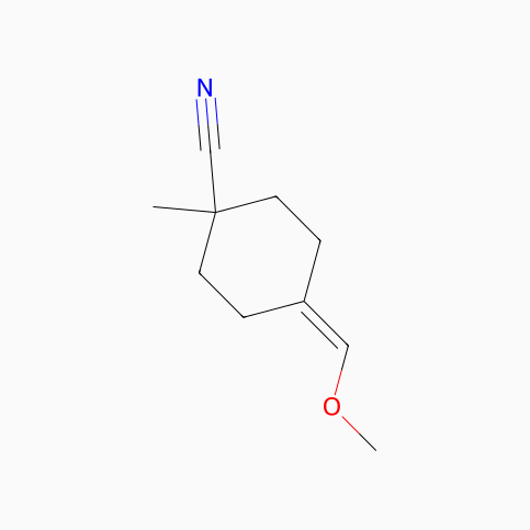 COC=C1CCC(C)(C#N)CC1